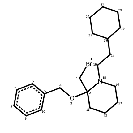 BrCC1(OCc2ccccc2)CCCCN1CCC1CCCCC1